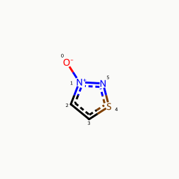 [O-][n+]1ccsn1